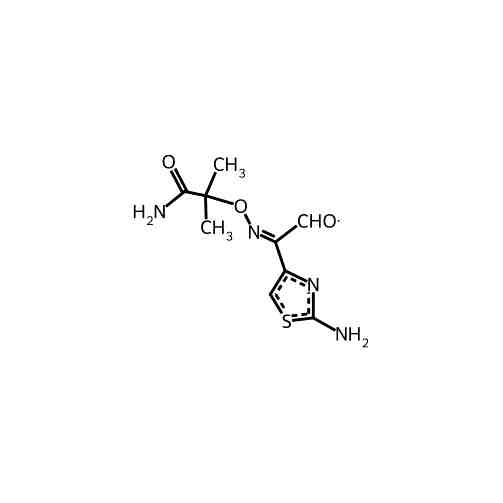 CC(C)(ON=C([C]=O)c1csc(N)n1)C(N)=O